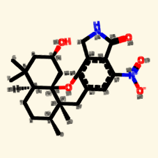 C[C@H]1CC[C@H]2C(C)(C)C[C@@H](O)C[C@]23Oc2c(cc([N+](=O)[O-])c4c2CNC4=O)C[C@]13C